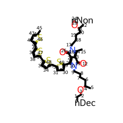 CCCCCCCCCCCCOC(C)CCCCN1C(=O)C2=C(C)N(CCCCC(C)OCCCCCCCCC)C(=O)C2=C1c1ccc(-c2ccc(-c3ccc(-c4ccc(C)s4)s3)s2)s1